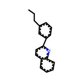 [CH2]CCc1cccc(-c2ccc3ccccc3n2)c1